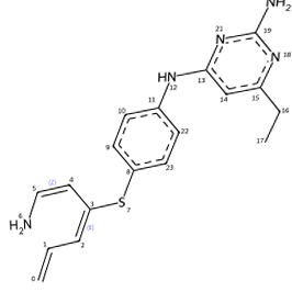 C=C/C=C(\C=C/N)Sc1ccc(Nc2cc(CC)nc(N)n2)cc1